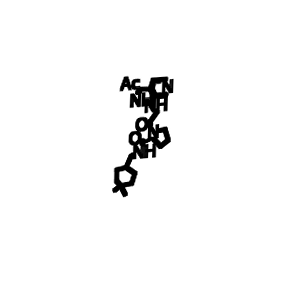 CC(=O)C(=N)c1ccncc1NCC(=O)N1CCC[C@H]1C(=O)NCC1CCC(C)(C)CC1